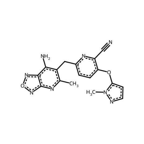 Cc1nc2nonc2c(N)c1Cc1ccc(Oc2ccnn2C)c(C#N)n1